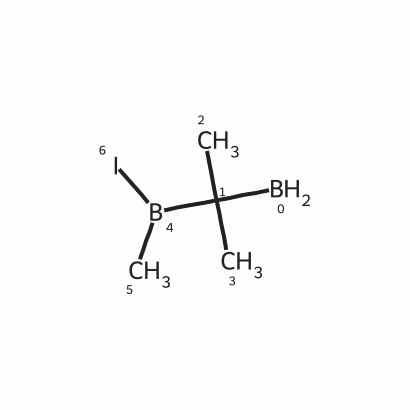 BC(C)(C)B(C)I